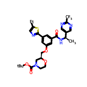 CCc1cnc(-c2cc(OC[C@@H]3CN(C(=O)OC(C)(C)C)CCO3)cc(C(=O)N[C@H](C)c3cnc(C(F)(F)F)nc3)c2)s1